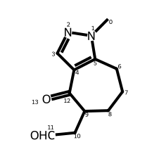 Cn1ncc2c1CCCC(CC=O)C2=O